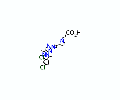 Cc1nn(C(C)c2ccc(Cl)cc2Cl)c2nc(N3CC([C@@H]4CCCN(CCCC(=O)O)C4)C3)ncc12